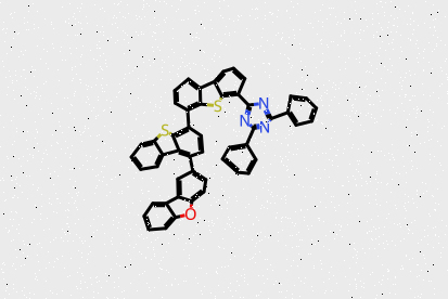 c1ccc(-c2nc(-c3ccccc3)nc(-c3cccc4c3sc3c(-c5ccc(-c6ccc7oc8ccccc8c7c6)c6c5sc5ccccc56)cccc34)n2)cc1